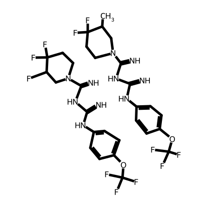 CC1CN(C(=N)NC(=N)Nc2ccc(OC(F)(F)F)cc2)CCC1(F)F.N=C(NC(=N)N1CCC(F)(F)C(F)C1)Nc1ccc(OC(F)(F)F)cc1